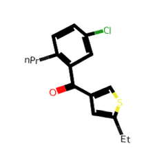 CCCc1ccc(Cl)cc1C(=O)c1csc(CC)c1